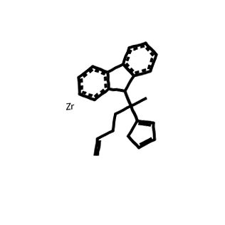 C=CCCC(C)(C1=CC=CC1)C1c2ccccc2-c2ccccc21.[Zr]